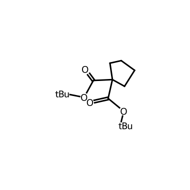 CC(C)(C)OC(=O)C1(C(=O)OC(C)(C)C)CCCC1